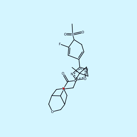 CC1(OC(=O)N2CC3COCC(C2)C3OCc2nc(C3=CCC(S(C)(=O)=O)C(F)=C3)no2)CC1